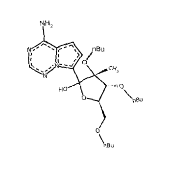 CCCCOC[C@H]1OC(O)(c2ccc3c(N)ncnn23)[C@](C)(OCCCC)[C@@H]1OCCCC